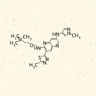 Cc1nnc(-c2cc3ncc(Nc4cnn(C)c4)cc3nc2NCOCC[Si](C)(C)C)s1